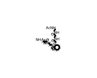 CC(=O)NCCNC(=O)CCNC(=O)COC1CCCCCc2nnn(CCCNC(=O)C(C)(C)NC(C)=O)c21